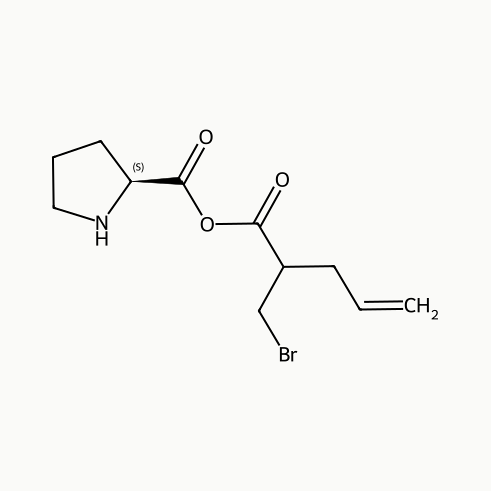 C=CCC(CBr)C(=O)OC(=O)[C@@H]1CCCN1